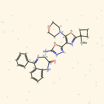 COC1(c2nc(-c3nnc(N[C@H]4N=C(c5ccccc5)c5ccccc5NC4=O)o3)c(N3CCOCC3)s2)CCC1